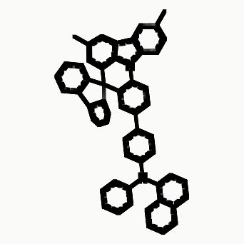 Cc1ccc2c(c1)c1cc(C)cc3c1n2-c1ccc(-c2ccc(N(c4ccccc4)c4cccc5ccccc45)cc2)cc1C31c2ccccc2-c2ccccc21